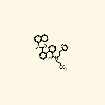 CN(C(=O)c1ccccc1-c1ccccc1C(=O)N(CCC(=O)O)CCc1cccs1)c1cccc2ccccc12